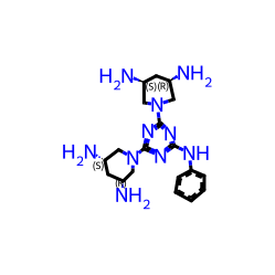 N[C@@H]1C[C@H](N)CN(c2nc(Nc3ccccc3)nc(N3C[C@H](N)C[C@H](N)C3)n2)C1